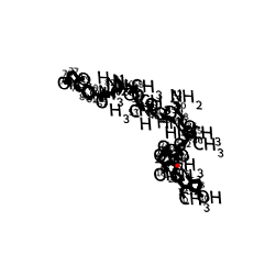 CCc1c2c(nc3ccc(O)cc13)-c1cc3c(c(=O)n1C2)COC(=O)C3(CC)OC(=O)OCC(NC(=O)C(CCCCN)NC(=O)COCC(=O)NC(C)(C)COC(C)(C)Cn1cc(CNC(=O)C2CCC(CN3C(=O)CCC3=O)CC2)nn1)C(C)C